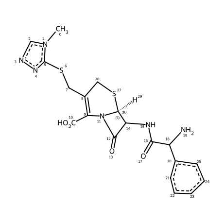 Cn1cnnc1SCC1=C(C(=O)O)N2C(=O)C(NC(=O)C(N)c3ccccc3)[C@@H]2SC1